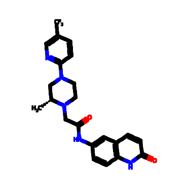 C[C@@H]1CN(c2ccc(C(F)(F)F)cn2)CCN1CC(=O)Nc1ccc2[nH]c(=O)ccc2c1